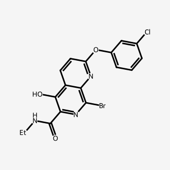 CCNC(=O)c1nc(Br)c2nc(Oc3cccc(Cl)c3)ccc2c1O